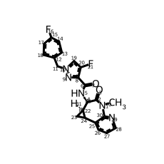 CN1C(=O)[C@H](NC(=O)c2nn(Cc3ccc(F)cc3)cc2F)[C@@H]2CC2c2cccnc21